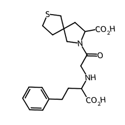 O=C(O)C(CCc1ccccc1)NCC(=O)N1CC2(CCSC2)CC1C(=O)O